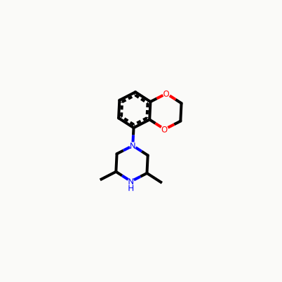 CC1CN(c2cccc3c2OCCO3)CC(C)N1